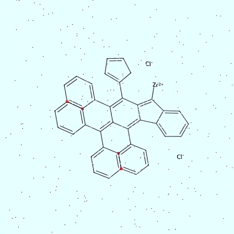 [Cl-].[Cl-].[Zr+2][C]1=c2c(C3=CC=CC3)c(-c3ccccc3)c(=C(c3ccccc3)c3ccccc3)c(-c3ccccc3)c2-c2ccccc21